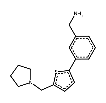 NCc1cccc(-c2ccc(CN3CCCC3)s2)c1